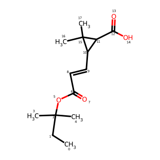 CCC(C)(C)OC(=O)C=CC1C(C(=O)O)C1(C)C